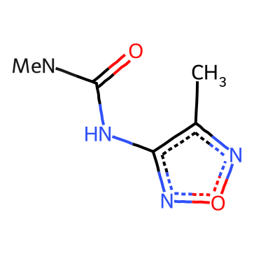 CNC(=O)Nc1nonc1C